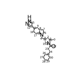 C[C@@H]1C[C@H](Cn2ccc3cc(-c4cn[nH]c4)ccc32)CN1C(=O)CCc1ccccc1